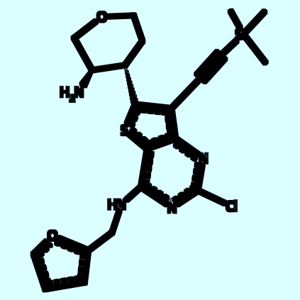 C[Si](C)(C)C#Cc1c([C@H]2CCOC[C@@H]2N)sc2c(NCc3ccco3)nc(Cl)nc12